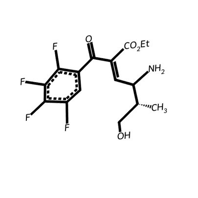 CCOC(=O)C(=CC(N)[C@H](C)CO)C(=O)c1cc(F)c(F)c(F)c1F